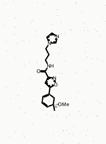 CO[C@]1(C)C=CC=C(c2cc(C(=O)NCCCn3ccnc3)no2)C1